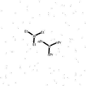 CCCN(CCC)CCC.C[CH2][Al]([CH2]C)[CH2]C